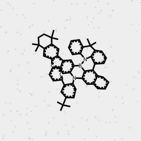 CC(C)(C)c1ccc(N2c3cc4sc5cc6c(cc5c4cc3B3c4c2cc2ccccc2c4-c2cccc4c2N3c2ccccc2C4(C)C)C(C)(C)CCC6(C)C)c(-c2ccccc2)c1